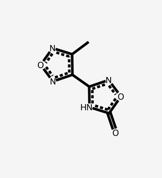 Cc1nonc1-c1noc(=O)[nH]1